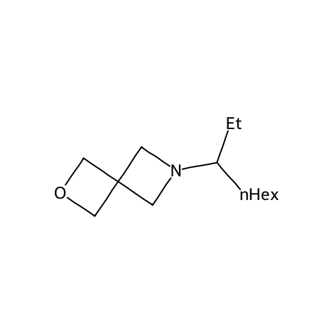 CCCCCCC(CC)N1CC2(COC2)C1